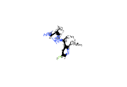 COc1ncc(F)cc1[C@H](C)N/C=C(\C=N)[N+](=O)[O-]